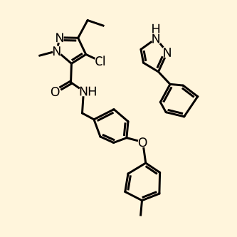 CCc1nn(C)c(C(=O)NCc2ccc(Oc3ccc(C)cc3)cc2)c1Cl.c1ccc(-c2cc[nH]n2)cc1